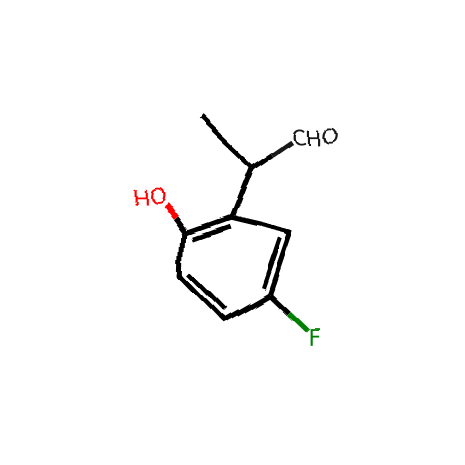 CC(C=O)c1cc(F)ccc1O